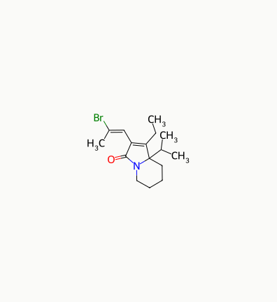 CCC1=C(/C=C(\C)Br)C(=O)N2CCCCC12C(C)C